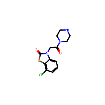 O=C(Cn1c(=O)sc2c(Cl)cccc21)N1CCNCC1